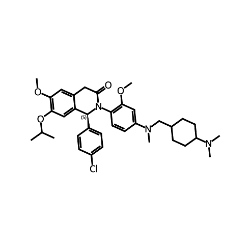 COc1cc2c(cc1OC(C)C)[C@H](c1ccc(Cl)cc1)N(c1ccc(N(C)CC3CCC(N(C)C)CC3)cc1OC)C(=O)C2